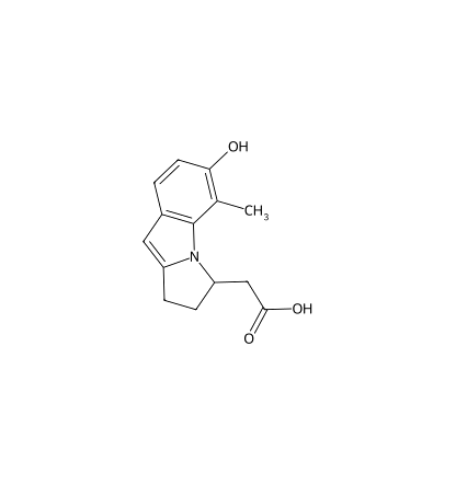 Cc1c(O)ccc2cc3n(c12)C(CC(=O)O)CC3